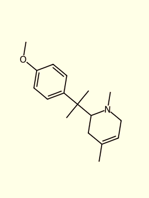 COc1ccc(C(C)(C)C2CC(C)=CCN2C)cc1